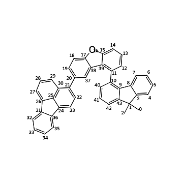 CC1(C)c2ccccc2-c2c(-c3cccc4oc5ccc(-c6ccc7c8c(cccc68)-c6ccccc6-7)cc5c34)cccc21